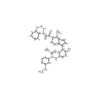 COc1cccc(C(Oc2ccc(Cl)c(-n3nnc4c(C)c(C(=O)NC5CCCc6ccccc65)ccc43)c2)C(=O)O)c1